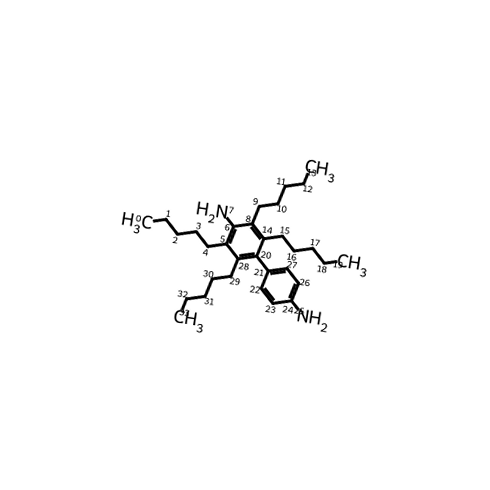 CCCCCc1c(N)c(CCCCC)c(CCCCC)c(-c2ccc(N)cc2)c1CCCCC